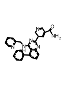 NC(=O)C1=CC(c2nc(NCc3ccccn3)c3c(-c4ccccc4)cccc3n2)CN=C1